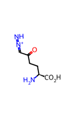 N=[N+]=CC(=O)CC[C@H](N)C(=O)O